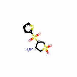 N[C@H]1CS(=O)(=O)C[C@@H]1S(=O)(=O)c1cccs1